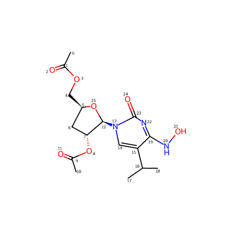 CC(=O)OC[C@@H]1C[C@@H](OC(C)=O)[C@H](n2cc(C(C)C)c(NO)nc2=O)O1